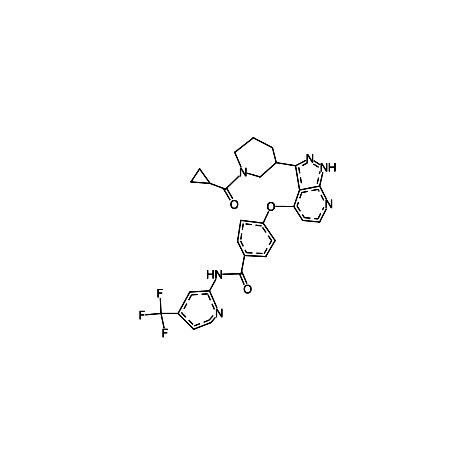 O=C(Nc1cc(C(F)(F)F)ccn1)c1ccc(Oc2ccnc3[nH]nc(C4CCCN(C(=O)C5CC5)C4)c23)cc1